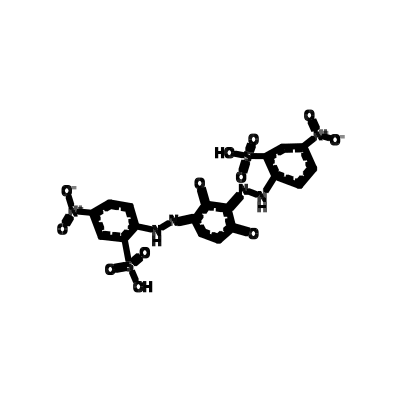 O=c1cc/c(=N\Nc2ccc([N+](=O)[O-])cc2S(=O)(=O)O)c(=O)/c1=N/Nc1ccc([N+](=O)[O-])cc1S(=O)(=O)O